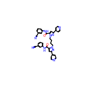 N#Cc1cccc(NC(=O)c2cc(-c3ccncc3)nn2CCCCn2nc(-c3ccncc3)cc2C(=O)Nc2cccc(C#N)c2)c1